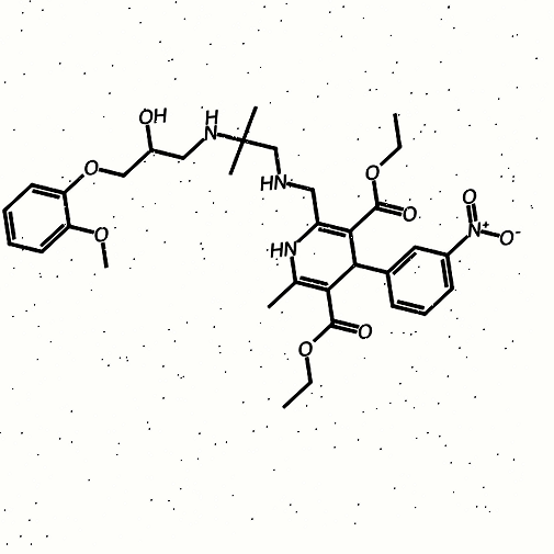 CCOC(=O)C1=C(C)NC(CNCC(C)(C)NCC(O)COc2ccccc2OC)=C(C(=O)OCC)C1c1cccc([N+](=O)[O-])c1